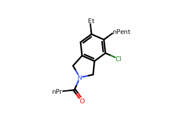 CCCCCc1c(CC)cc2c(c1Cl)CN(C(=O)CCC)C2